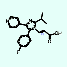 CC(C)c1nc(-c2ccncc2)c(-c2ccc(F)cc2)n1/C=C/C(=O)O